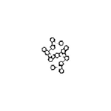 c1ccc(-n2c3ccccc3c3cc(-c4c5ccccc5cc5c6cccc7c8cc9c(cc8n(c45)c76)c4cc5ccccc5c5c6cccc(-c7ccc8c(c7)c7ccccc7n8-c7ccccc7)c6n9c45)ccc32)cc1